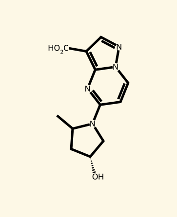 CC1C[C@@H](O)CN1c1ccn2ncc(C(=O)O)c2n1